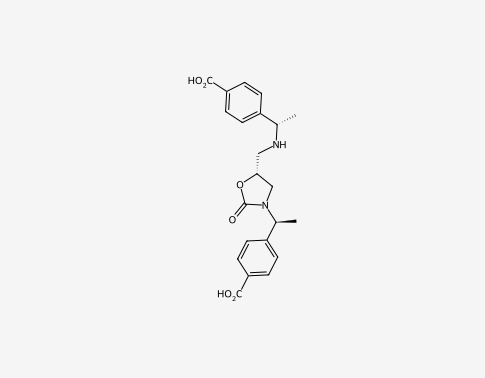 C[C@H](NC[C@@H]1CN([C@@H](C)c2ccc(C(=O)O)cc2)C(=O)O1)c1ccc(C(=O)O)cc1